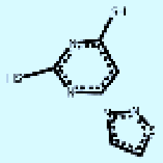 Sc1ccnc(S)n1.c1csnn1